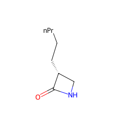 CCCCC[C@@H]1CNC1=O